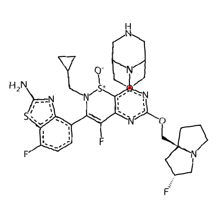 Nc1nc2c(C3=C(F)c4nc(OC[C@@]56CCCN5C[C@H](F)C6)nc(N5C6CNCC5COC6)c4[S+]([O-])N3CC3CC3)ccc(F)c2s1